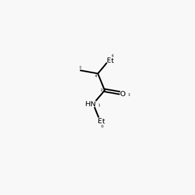 [CH2]CNC(=O)C(C)CC